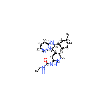 CCNC(=O)Nc1cc(-c2c(-c3cccc(C)c3)nc3cccnn23)ccn1